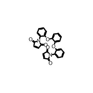 O=C1C=CC(=O)N1c1ccccc1Oc1ccccc1Oc1ccccc1N1C(=O)C=CC1=O